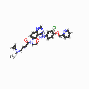 CN(C/C=C/C(=O)N1CCOc2c1ccc1ncnc(Nc3ccc(OCc4ccccn4)c(Cl)c3)c21)C1CC1